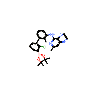 Cc1cc2nccnc2c(Nc2cccc(-c3cccc(B4OC(C)(C)C(C)(C)O4)c3Cl)c2C)n1